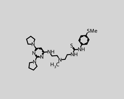 CSc1ccc(NC(=S)NCCN(C)CCNc2cc(N3CCCC3)nc(N3CCCC3)n2)cc1